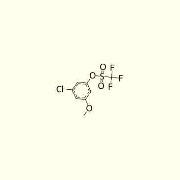 COc1cc(Cl)cc(OS(=O)(=O)C(F)(F)F)c1